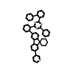 c1ccc(-c2nc(-c3ccccc3-c3ccccc3)nc(-c3ccccc3-c3ccc4c(c3)-c3ccc(-c5cccnc5)cc3C43CCCCC3)n2)cc1